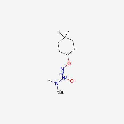 CN(/[N+]([O-])=N/OC1CCC(C)(C)CC1)C(C)(C)C